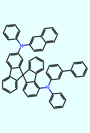 c1ccc(-c2cccc(N(c3ccccc3)c3cccc4c3-c3ccccc3C43c4ccccc4-c4ccc(N(c5ccccc5)c5ccc6ccccc6c5)cc43)c2)cc1